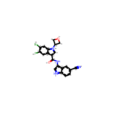 N#Cc1ccc2[nH]cc(NC(=O)c3cn(C4COC4)c4cc(Br)c(F)cc34)c2c1